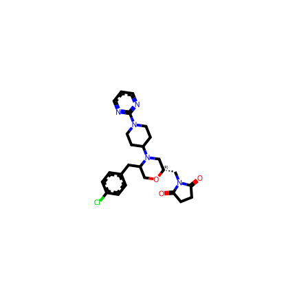 O=C1CCC(=O)N1C[C@H]1CN(C2CCN(c3ncccn3)CC2)C(Cc2ccc(Cl)cc2)CO1